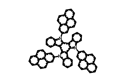 c1cc2ccc3cc(-n4c5ccccc5c5c4c4c6ccccc6n(-c6cc7ccc8cccc9ccc(c6)c7c89)c4c4c6ccccc6n(-c6cc7ccc8cccc9ccc(c6)c7c89)c54)cc4ccc(c1)c2c34